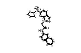 CN(c1ccc2cnn(CC(=O)Nc3cnc4cccnc4c3)c2n1)C1CCCC1